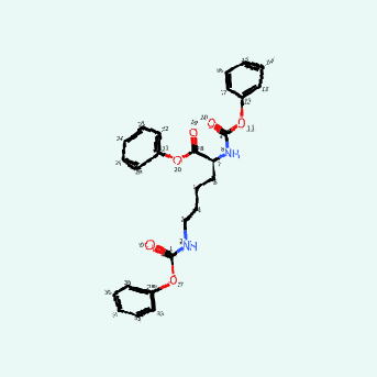 O=C(NCCCC[C@H](NC(=O)Oc1ccccc1)C(=O)Oc1ccccc1)Oc1ccccc1